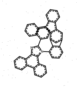 c1ccc(-c2nc3c4ccccc4c4ccccc4c3n2-c2cccc3c2-c2cc-3cc3c4ccccc4n(-c4ccccc4)c23)cc1